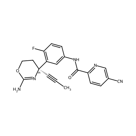 CC#C[C@@]1(c2cc(NC(=O)c3ccc(C#N)cn3)ccc2F)CCOC(N)=N1